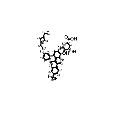 O=C(O)[C@@H]1C[C@H](O)[C@@H](O)[C@H](Oc2ccc3c4c(cnc3c2)-c2ccc(C(F)(F)F)cc2O[C@@H]4c2ccc(OCCN3CC(CF)C3)cc2)O1